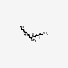 NCCCCNCCC(N)NCCNCCN